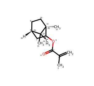 C=C(C)C(=O)OC1C[C@@H]2CC[C@]1(C)C2(C)C